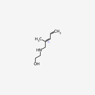 C=C/C=C(\C)CNCCO